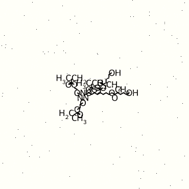 C=C(C)C(=O)OCCOc1nc(OCCOC(=O)C(=C)C)nc(OCC(C=C(CCCOC(=O)C(=C)CCCO)C(=O)OC(=O)C(=C)CCCO)OC(=O)C(=C)C)n1